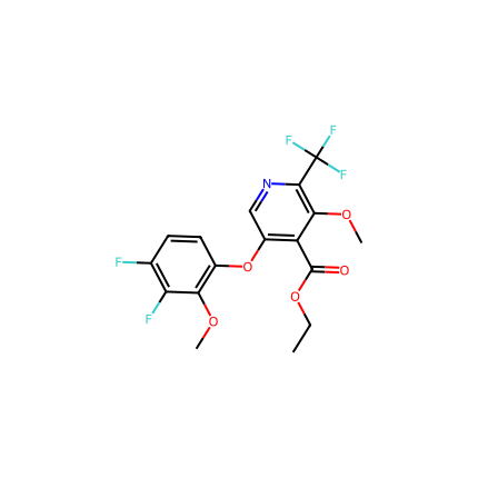 CCOC(=O)c1c(Oc2ccc(F)c(F)c2OC)cnc(C(F)(F)F)c1OC